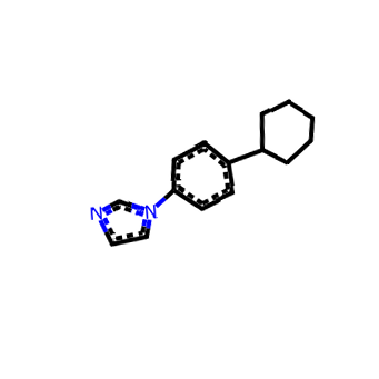 c1cn(-c2ccc(C3CCCCC3)cc2)cn1